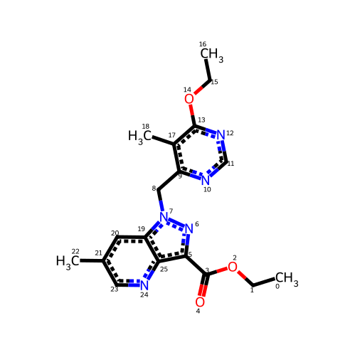 CCOC(=O)c1nn(Cc2ncnc(OCC)c2C)c2cc(C)cnc12